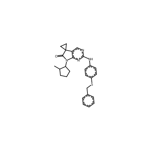 CC1CCCC1N1C(=O)C2(CC2)c2cnc(Nc3ccc(SCc4ccccc4)cc3)nc21